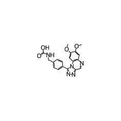 COc1cc2ncc3nnc(-c4ccc(CNC(=O)O)cc4)n3c2cc1OC